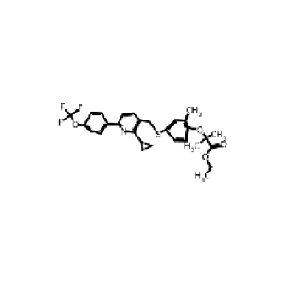 CCOC(=O)C(C)(C)Oc1ccc(SCc2ccc(-c3ccc(OC(F)(F)F)cc3)nc2C2CC2)cc1C